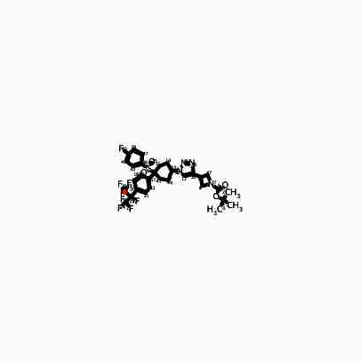 CC(C)(C)OC(=O)N1CC(c2cn(C3CCC(c4ccc(C(F)(C(F)(F)F)C(F)(F)F)cc4)(S(=O)(=O)c4ccc(F)cc4)CC3)nn2)C1